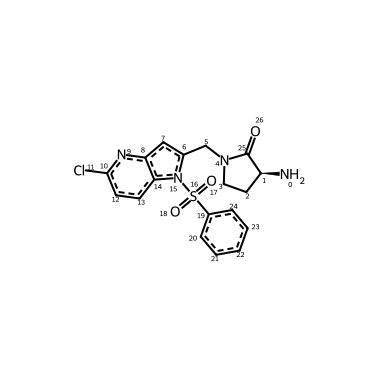 N[C@H]1CCN(Cc2cc3nc(Cl)ccc3n2S(=O)(=O)c2ccccc2)C1=O